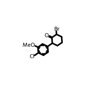 COc1cc(C2CCCC(Br)C2=O)ccc1Cl